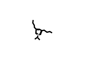 CCCCc1cc(CCCC)c[n+](C(C)C)c1